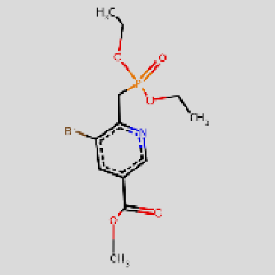 CCOP(=O)(Cc1ncc(C(=O)OC)cc1Br)OCC